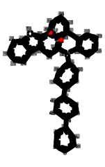 c1ccc(-c2ccc(-c3ccc(N(c4cc5c(cn4)oc4ccccc45)c4ccccc4-c4ccccc4)cc3)cc2)cc1